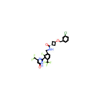 O=c1cc(C(F)F)nc(-c2c(C(F)(F)F)ccc(CNC(=O)[C@H]3C[C@H](OCc4cccc(Cl)c4)C3)c2F)[nH]1